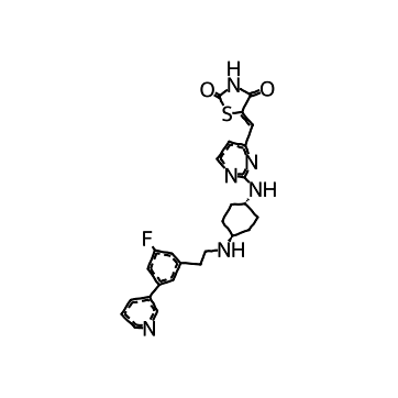 O=C1NC(=O)/C(=C/c2ccnc(N[C@H]3CC[C@H](NCCc4cc(F)cc(-c5cccnc5)c4)CC3)n2)S1